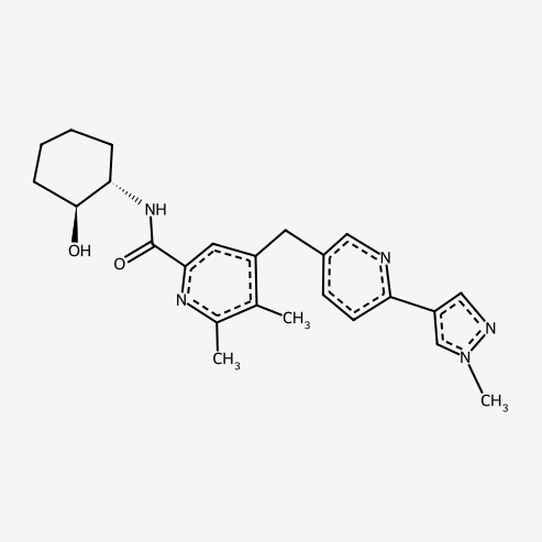 Cc1nc(C(=O)N[C@H]2CCCC[C@@H]2O)cc(Cc2ccc(-c3cnn(C)c3)nc2)c1C